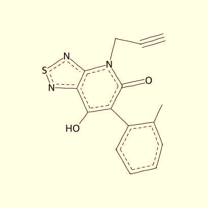 C#CCn1c(=O)c(-c2ccccc2C)c(O)c2nsnc21